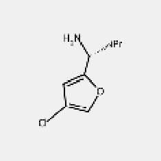 CC(C)[C@@H](N)c1cc(Cl)co1